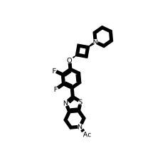 CC(=O)N1CCc2nc(-c3ccc(O[C@H]4C[C@H](N5CCCCC5)C4)c(F)c3F)sc2C1